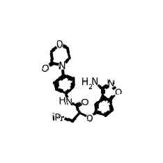 CC(C)CC(Oc1ccc2onc(N)c2c1)C(=O)Nc1ccc(N2CCOCC2=O)cc1